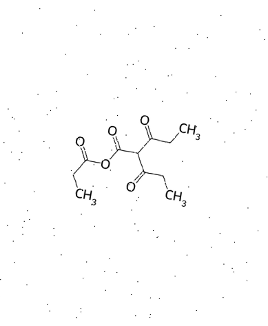 CCC(=O)OC(=O)C(C(=O)CC)C(=O)CC